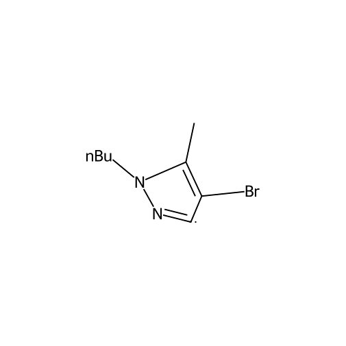 CCCCn1n[c]c(Br)c1C